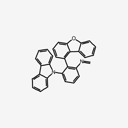 C=Nc1cccc(-n2c3ccccc3c3ccccc32)c1-c1cccc2oc3ccccc3c12